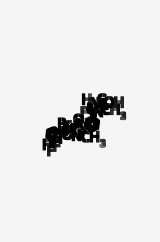 Cc1nc(OCc2cccc(C(F)(F)F)n2)c(Br)c(=O)n1-c1cccc(-c2nc(C(C)(C)O)ncc2F)c1